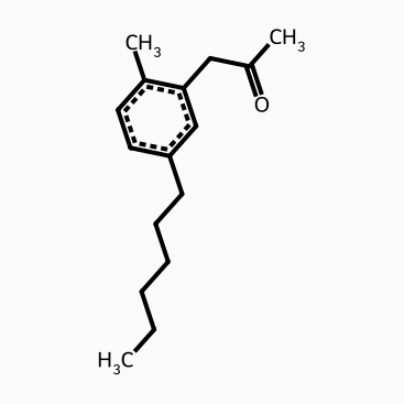 CCCCCCc1ccc(C)c(CC(C)=O)c1